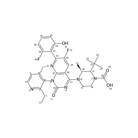 CCc1nccc(C)c1-n1c(=O)nc(N2CCN(C(=O)O)C(C(C)(C)C)[C@@H]2C)c2cc(F)c(-c3c(O)cccc3F)nc21